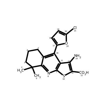 CC1(C)CCCc2c1nc1sc(C(=O)O)c(N)c1c2-c1ccc(Cl)o1